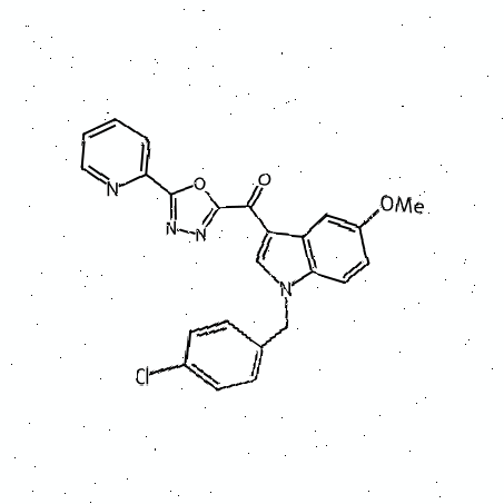 COc1ccc2c(c1)c(C(=O)c1nnc(-c3ccccn3)o1)cn2Cc1ccc(Cl)cc1